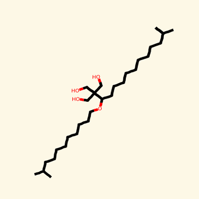 CC(C)CCCCCCCCCOC(CCCCCCCCCC(C)C)C(CO)(CO)CO